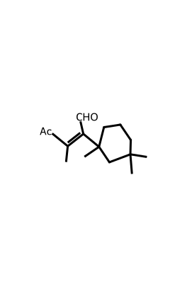 CC(=O)C(C)=C(C=O)C1(C)CCCC(C)(C)C1